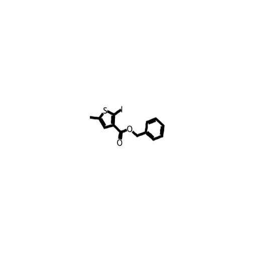 Cc1cc(C(=O)OCc2ccccc2)c(I)s1